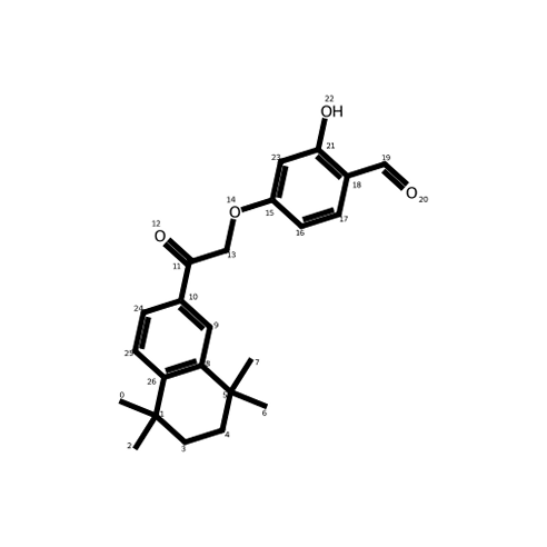 CC1(C)CCC(C)(C)c2cc(C(=O)COc3ccc(C=O)c(O)c3)ccc21